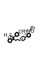 CC(C)C(=O)Nc1cccc(C2CCN(CCCc3c(-c4ccc(C(F)(F)F)cc4)n(C)c4ccccc34)CC2)c1